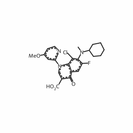 COc1ccnc(-n2cc(C(=O)O)c(=O)c3cc(F)c(N(C)C4CCCCC4)c(Cl)c32)c1